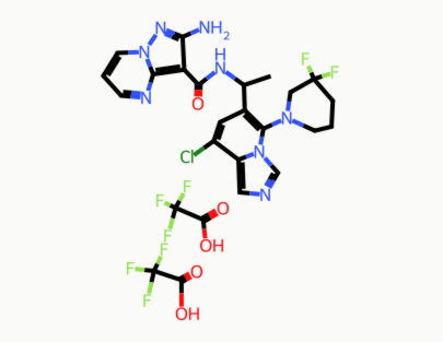 CC(NC(=O)c1c(N)nn2cccnc12)c1cc(Cl)c2cncn2c1N1CCCC(F)(F)C1.O=C(O)C(F)(F)F.O=C(O)C(F)(F)F